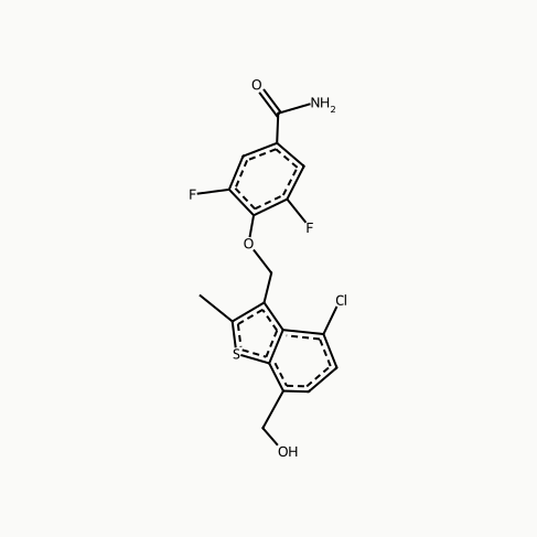 Cc1sc2c(CO)ccc(Cl)c2c1COc1c(F)cc(C(N)=O)cc1F